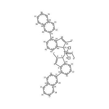 C[CH]=[Ti]([Cl])([Cl])([CH]1C(C)=Cc2c(-c3ccc4ccccc4c3)cccc21)[CH]1C(C)=Cc2c(-c3ccc4ccccc4c3)cccc21